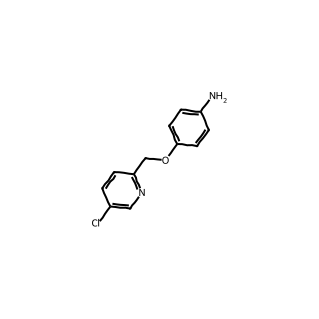 Nc1ccc(OCc2ccc(Cl)cn2)cc1